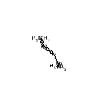 CCC(C)(C)C(=O)OCCCCCCOc1ccc(-c2ccc(-c3nnc(-c4ccc(N(C)C)cc4)o3)cc2)cc1